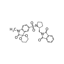 CN1C(=O)C2(OCCCO2)c2cc(S(=O)(=O)N3CCC[C@H]3CN3C(=O)c4ccccc4C3=O)ccc21